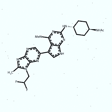 CNc1nc(N[C@H]2CC[C@H](NC(C)=O)CC2)nc2[nH]cc(-c3cnc4nc(C)n(CC(F)F)c4n3)c12